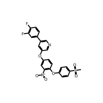 CS(=O)(=O)c1ccc(Oc2ccc(Oc3cncc(-c4ccc(F)c(F)c4)c3)cc2[N+](=O)[O-])cc1